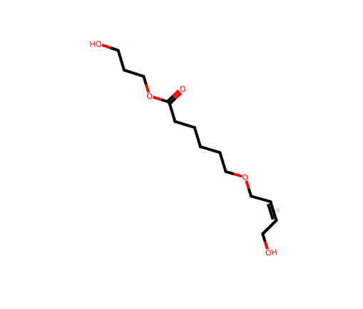 O=C(CCCCCOC/C=C\CO)OCCCO